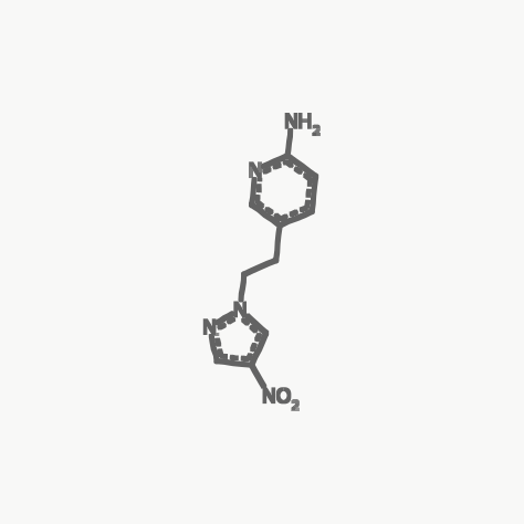 Nc1ccc(CCn2cc([N+](=O)[O-])cn2)cn1